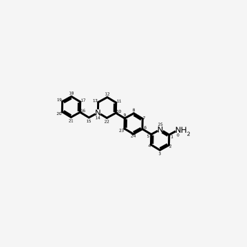 Nc1cccc(-c2ccc(C3=CCCN(Cc4ccccc4)C3)cc2)n1